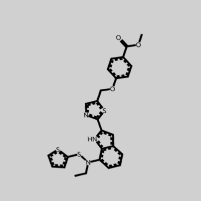 CCN(Sc1cccs1)c1cccc2cc(-c3ncc(COc4ccc(C(=O)OC)cc4)s3)[nH]c12